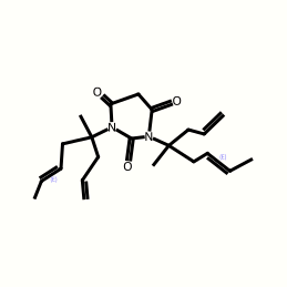 C=CCC(C)(C/C=C/C)N1C(=O)CC(=O)N(C(C)(CC=C)C/C=C/C)C1=O